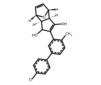 Cc1ccc(-c2ccc(Cl)cc2)cc1C1=C(O)[C@H]2[C@@H](C1O)[C@@H]1C=C[C@H]2O1